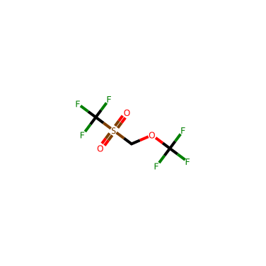 O=S(=O)(COC(F)(F)F)C(F)(F)F